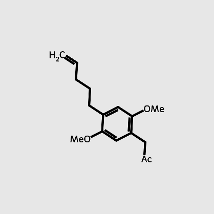 C=CCCCc1cc(OC)c(CC(C)=O)cc1OC